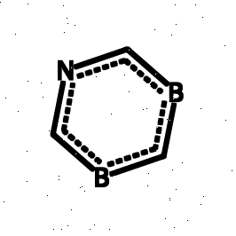 b1cbcnc1